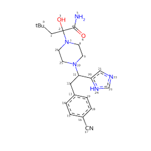 CC(C)(C)CC(O)(C(N)=O)N1CCN(C(Cc2ccc(C#N)cc2)c2cnc[nH]2)CC1